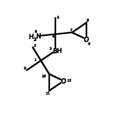 CC(C)(BC(C)(N)C1CO1)C1CO1